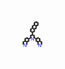 c1ccc2cc3cc(-c4cc(-c5ccc6ccncc6c5)nc(-c5ccc6ccncc6c5)c4)ccc3cc2c1